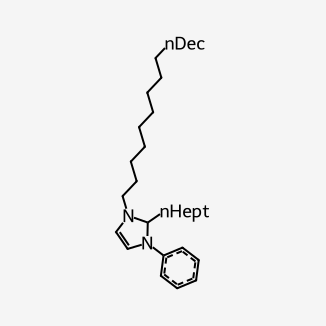 CCCCCCCCCCCCCCCCCCCN1C=CN(c2ccccc2)C1CCCCCCC